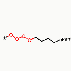 CCCCCCCCCOOOOCC